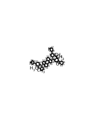 CC1(C)c2ccccc2N(c2ccc3c4cccc5c(N6c7ccc(-c8cccnc8)cc7C(C)(C)c7cc8c(cc76)oc6ccccc68)ccc(c6cccc2c36)c54)c2ccc(-c3cccnc3)cc21